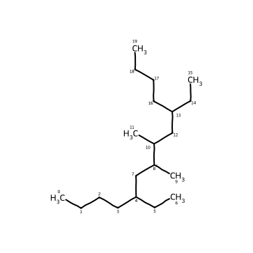 CCCCC(CC)C[C](C)C(C)CC(CC)CCCC